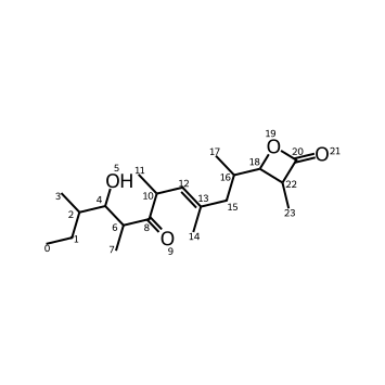 CCC(C)C(O)C(C)C(=O)C(C)C=C(C)CC(C)C1OC(=O)C1C